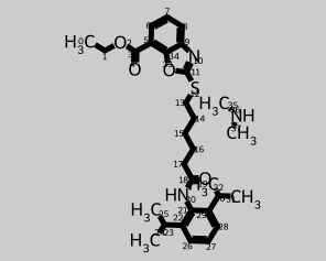 CCOC(=O)c1cccc2nc(SCCCCCC(=O)Nc3c(C(C)C)cccc3C(C)C)oc12.CNC